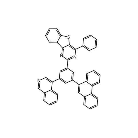 c1ccc(-c2nc(-c3cc(-c4cncc5ccccc45)cc(-c4cc5ccccc5c5ccccc45)c3)nc3c2sc2ccccc23)cc1